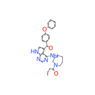 O=C(c1ccc(Oc2ccccc2)cc1)c1c[nH]c2ncnc(NC3CCCCN(C(=O)CI)C3)c12